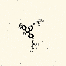 CCNCC(O)COc1ccc(C(=C(CC)c2ccc3c(c2)OCO3)c2ccc(OCOC(=O)C(C)(C)C)cc2)cc1